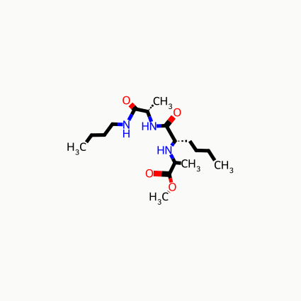 CCCCNC(=O)[C@H](C)NC(=O)[C@H](CCCC)NC(C)C(=O)OC